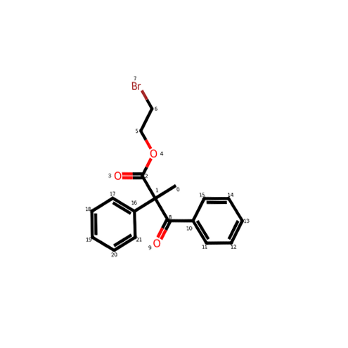 CC(C(=O)OCCBr)(C(=O)c1ccccc1)c1ccccc1